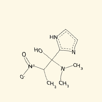 CC([N+](=O)[O-])C(O)(c1ncc[nH]1)N(C)C